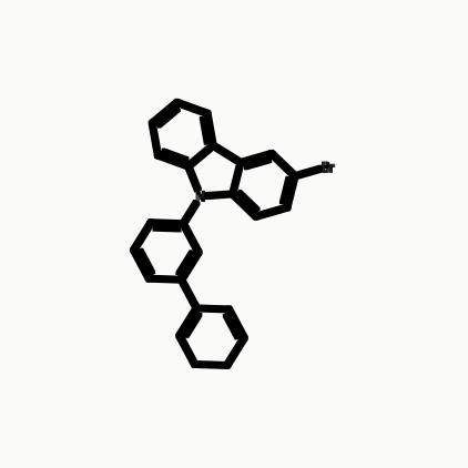 Brc1ccc2c(c1)c1ccccc1n2-c1cccc(C2=CCCC=C2)c1